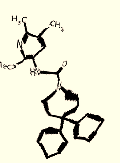 COc1nc(C)c(C)cc1NC(=O)N1CCC(c2ccccc2)(c2ccccc2)CC1